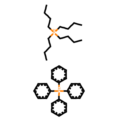 CCCC[PH](CCCC)(CCCC)CCCC.c1ccc([PH](c2ccccc2)(c2ccccc2)c2ccccc2)cc1